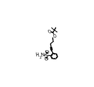 CC(C)(C)C(=O)OCCCC#Cc1ccccc1S(N)(=O)=O